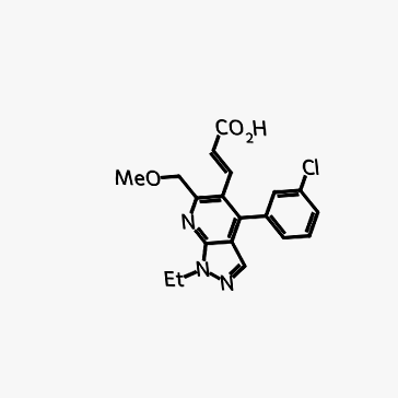 CCn1ncc2c(-c3cccc(Cl)c3)c(C=CC(=O)O)c(COC)nc21